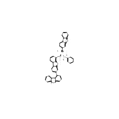 c1ccc(-c2nc(-c3ccc4c(c3)oc3ccccc34)nc(-c3cccc4c3oc3cc(-c5cccc6oc7ccccc7c56)ccc34)n2)cc1